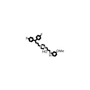 COc1cccc(NCC(O)CN2CCN(CCCC(c3ccc(F)cc3)c3ccc(F)cc3)CC2)c1